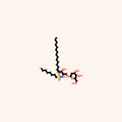 CCCCCCCCCCCCC/C=C\C(O)C(CO[C@H]1CC(O)[C@H](O)C(CO)O1)NS(=O)(=O)CCCCCCCC